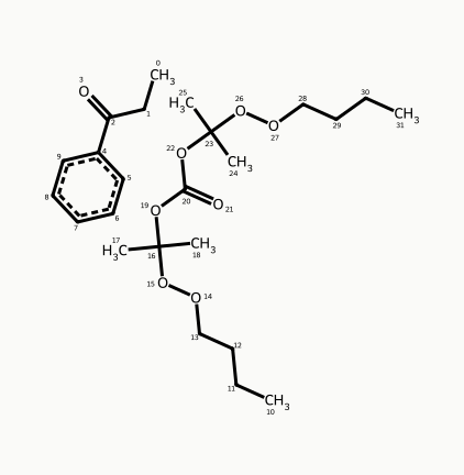 CCC(=O)c1ccccc1.CCCCOOC(C)(C)OC(=O)OC(C)(C)OOCCCC